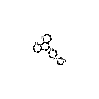 c1cnc2c(c1)ccc1cccnc12.c1cnccn1.c1cocn1